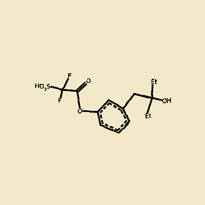 CCC(O)(CC)Cc1cccc(OC(=O)C(F)(F)S(=O)(=O)O)c1